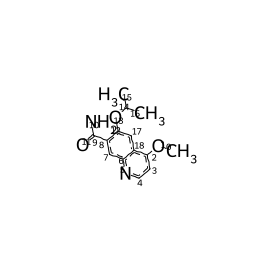 COc1ccnc2cc(C(N)=O)c(OC(C)C)cc12